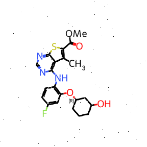 COC(=O)c1sc2ncnc(Nc3ccc(F)cc3O[C@@H]3CCCC(O)C3)c2c1C